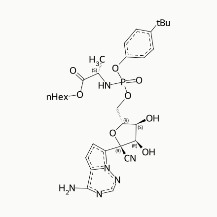 CCCCCCOC(=O)[C@H](C)NP(=O)(OC[C@H]1O[C@@](C#N)(c2ccc3c(N)ncnn23)[C@H](O)[C@@H]1O)Oc1ccc(C(C)(C)C)cc1